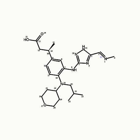 C/N=C/c1nc(Nc2cc([C@H](C)CC(=O)O)ccc2N(CC(C)C)C2CCOCC2)n[nH]1